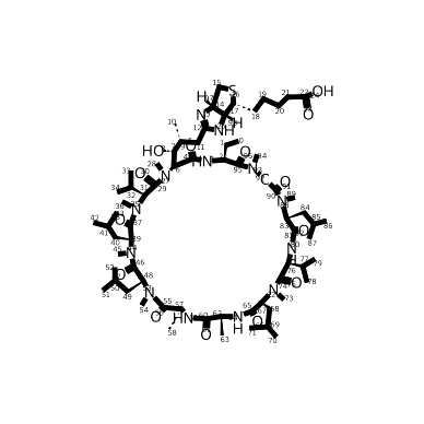 CC[C@@H]1NC(=O)[C@H]([C@H](O)[C@H](C)CC2=N[C@@H]3CS[C@H](CCCCC(=O)O)[C@@H]3N2)N(C)C(=O)[C@H](C(C)C)N(C)C(=O)[C@H](CC(C)C)N(C)C(=O)[C@H](CC(C)C)N(C)C(=O)[C@@H](C)NC(=O)[C@H](C)NC(=O)[C@H](CC(C)C)N(C)C(=O)[C@H](C(C)C)NC(=O)[C@H](CC(C)C)N(C)C(=O)CN(C)C1=O